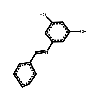 Oc1cc(O)cc(N=Cc2ccccc2)c1